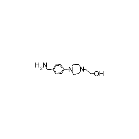 NCc1ccc(N2CCN(CCO)CC2)cc1